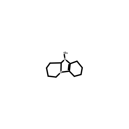 CC(C)(C)N1C2=C(CCCC2)N2CCCCC21